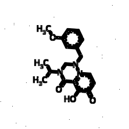 COc1cccc(CN2CN(C(C)C)C(=O)c3c(O)c(=O)ccn32)c1